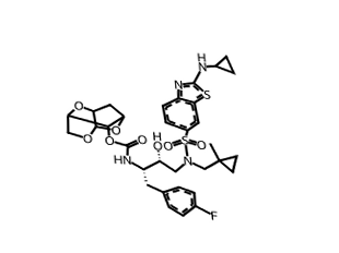 CC1(CN(C[C@@H](O)[C@H](Cc2ccc(F)cc2)NC(=O)OC2C3COC4OC2CC4O3)S(=O)(=O)c2ccc3nc(NC4CC4)sc3c2)CC1